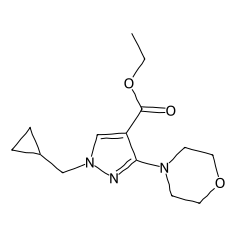 CCOC(=O)c1cn(CC2CC2)nc1N1CCOCC1